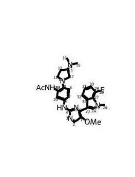 COc1cnc(Nc2ccc(N3CCC(N(C)C)C3)c(NC(C)=O)c2)nc1-c1cn(C)c2c(F)cccc12